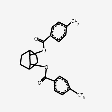 O=C(OC1C2CCC(CC2)C1OC(=O)c1ccc(C(F)(F)F)cc1)c1ccc(C(F)(F)F)cc1